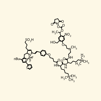 CCCCc1cc(-c2cccs2)n2c1CC1C(CCCS(=O)(=O)O)=CC(/C=C/c3ccc(OCCCC(=O)NC(CCCC[N+](C)(C)C)C(=O)NC(CCCC[N+](C)(C)C)C(=O)NCCN(C)CCOc4cc([N+](=O)[O-])c(C(C)OC(=O)ON5C(=O)CCC5=O)cc4CO)cc3)=[N+]1[B-]2(F)F